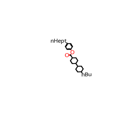 CCCCCCCc1ccc(OC(=O)C2CCC(C3CCC(CCCC)CC3)CC2)cc1